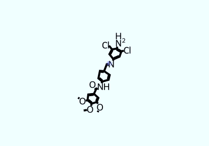 COc1cc(C(=O)Nc2ccc(/C=N/c3cc(Cl)c(N)c(Cl)c3)cc2)cc(OC)c1OC